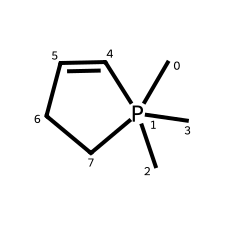 CP1(C)(C)C=CCC1